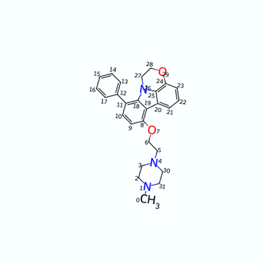 CN1CCN(CCOc2ccc(-c3ccccc3)c3c2c2cccc4c2n3CCO4)CC1